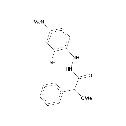 CNc1ccc(NNC(=O)C(OC)c2ccccc2)c(S)c1